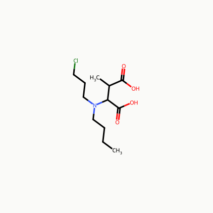 CCCCN(CCCCl)C(C(=O)O)C(C)C(=O)O